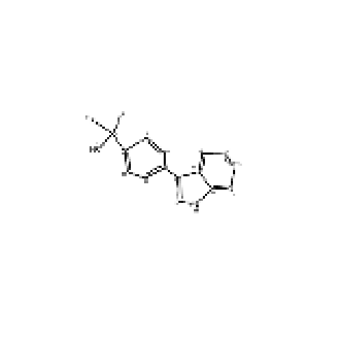 FC(F)(S)c1ccc(-c2c[nH]c3ncccc23)cc1